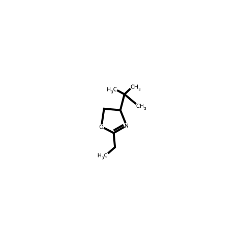 CCC1=NC(C(C)(C)C)CO1